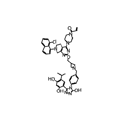 C=CC(=O)N1CCN(c2nc(OCC3CN(Cc4ccc(-n5c(O)nnc5-c5cc(C(C)C)c(O)cc5O)cc4)C3)nc3c2CCN(c2cccc4cccc(Cl)c24)C3)CC1